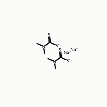 CN(C)C(=S)[S-].CN(C)C(=S)[S-].[Na+].[Na+]